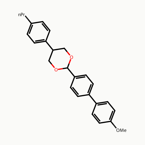 CCCc1ccc(C2COC(c3ccc(-c4ccc(OC)cc4)cc3)OC2)cc1